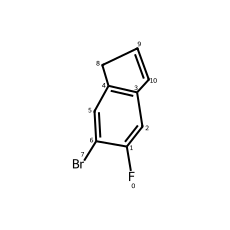 Fc1cc2c(cc1Br)CC=C2